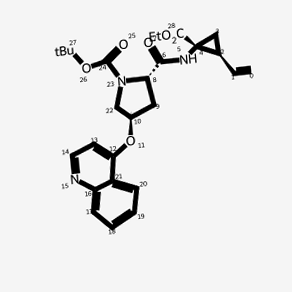 C=C[C@@H]1C[C@]1(NC(=O)[C@@H]1C[C@@H](Oc2ccnc3ccccc23)CN1C(=O)OC(C)(C)C)C(=O)OCC